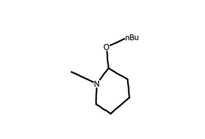 CCCCOC1CCCCN1C